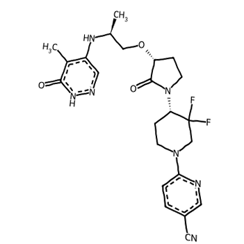 Cc1c(N[C@@H](C)CO[C@@H]2CCN([C@H]3CCN(c4ccc(C#N)cn4)CC3(F)F)C2=O)cn[nH]c1=O